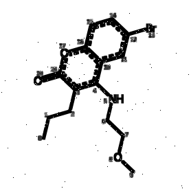 CCCc1c(NCCOC)c2cc(Br)ccc2oc1=O